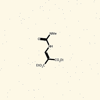 CCOC(=O)C(=CNC(=O)NC)C(=O)OCC